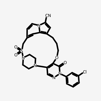 N#Cc1cc2c3cc(ccn13)CS(=O)(=O)N1CCN(CC1)c1cnn(-c3cccc(Cl)c3)c(=O)c1OCCC2